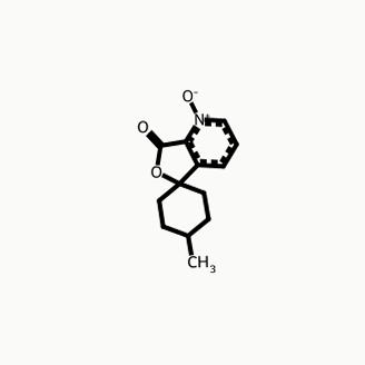 CC1CCC2(CC1)OC(=O)c1c2ccc[n+]1[O-]